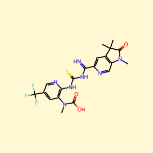 CN1C(=O)C(C)(C)c2cc(C(=N)NC(=S)Nc3ncc(C(F)(F)F)cc3N(C)C(=O)O)ncc21